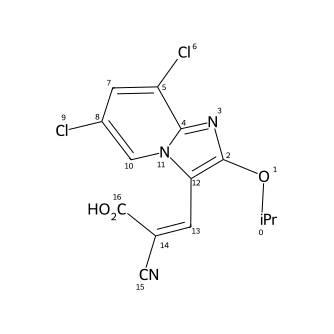 CC(C)Oc1nc2c(Cl)cc(Cl)cn2c1C=C(C#N)C(=O)O